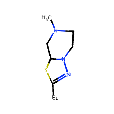 CCC1=NN2CCN(C)CC2S1